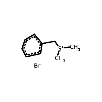 C[S+](C)Cc1ccccc1.[Br-]